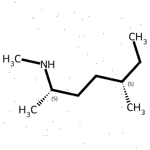 CC[C@H](C)CC[C@H](C)NC